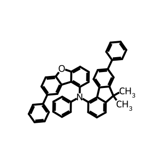 CC1(C)c2cc(-c3ccccc3)ccc2-c2c(N(c3ccccc3)c3cccc4oc5ccc(-c6ccccc6)cc5c34)cccc21